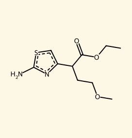 CCOC(=O)C(CCOC)c1csc(N)n1